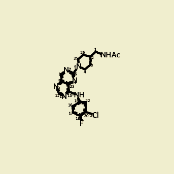 CC(=O)NCC1CCN(c2ncc3ncnc(Nc4ccc(F)c(Cl)c4)c3n2)CC1